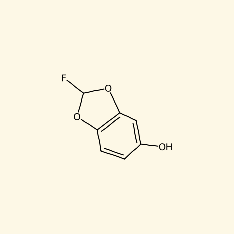 Oc1ccc2c(c1)OC(F)O2